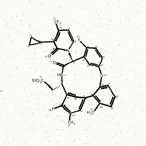 CCOC(=O)C[C@@H]1NC(=O)[C@@H](n2ccc(C(F)(F)F)c(C3CC3)c2=O)c2cc(ccc2F)Oc2cccc(C)c2-c2cc(C)c(F)c1c2